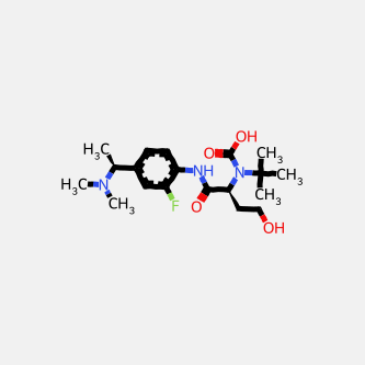 C[C@@H](c1ccc(NC(=O)[C@H](CCO)N(C(=O)O)C(C)(C)C)c(F)c1)N(C)C